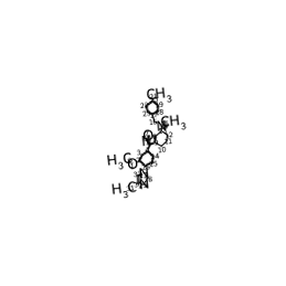 COc1cc(-c2noc3c2CCCC3N(C)Cc2ccc(C)cc2)ccc1-n1cnc(C)c1